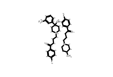 CC1CCN(CCCC(=O)c2ccc(F)cc2)CC1.O=C(CCCN1CCC(O)(c2cccc(C(F)(F)F)c2)CC1)c1ccc(F)cc1